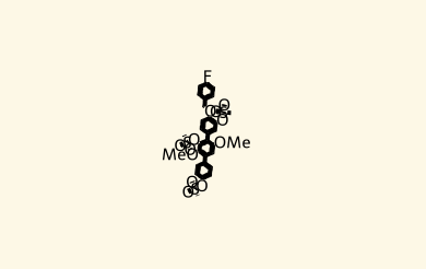 COc1cc(-c2ccc(OS(C)(=O)=O)cc2)c(OC)c(OS(C)(=O)=O)c1-c1ccc(OCc2ccc(F)cc2)c(OS(C)(=O)=O)c1